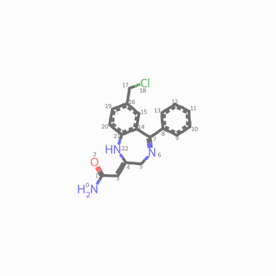 NC(=O)C=C1CN=C(c2ccccc2)c2cc(CCl)ccc2N1